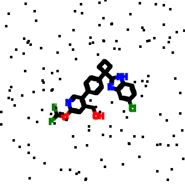 OCc1cc(OC(F)F)ncc1-c1ccc(C2(c3nc4cc(Cl)ccc4[nH]3)CCC2)cc1